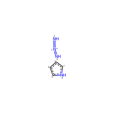 N=[N+]=N.c1cc[nH]c1